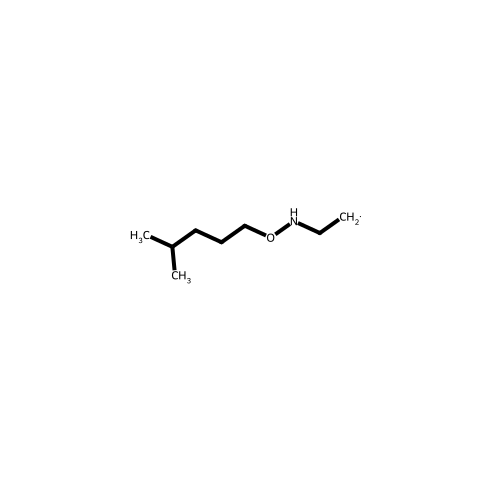 [CH2]CNOCCCC(C)C